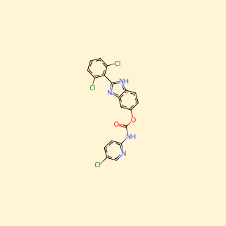 O=C(Nc1ccc(Cl)cn1)Oc1ccc2[nH]c(-c3c(Cl)cccc3Cl)nc2c1